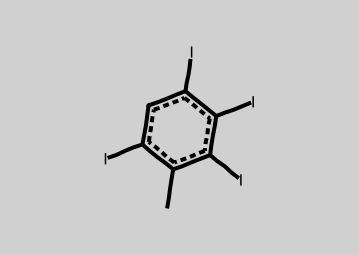 Cc1c(I)cc(I)c(I)c1I